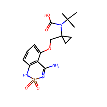 CC(C)(C)N(C(=O)O)C1(COc2cccc3c2C(N)=NS(=O)(=O)N3)CC1